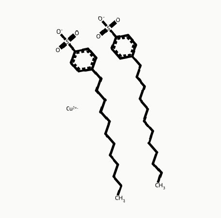 CCCCCCCCCCCCc1ccc(S(=O)(=O)[O-])cc1.CCCCCCCCCCCCc1ccc(S(=O)(=O)[O-])cc1.[Cu+2]